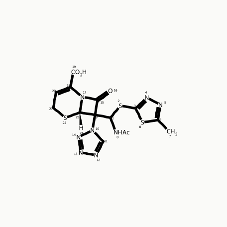 CC(=O)NC(Sc1nnc(C)s1)C1(n2cnnn2)C(=O)N2C(C(=O)O)=CCS[C@H]21